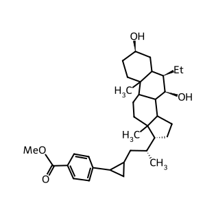 CC[C@@H]1C2C[C@H](O)CCC2(C)C2CCC3(C)C(CC[C@@H]3[C@H](C)CC3CC3c3ccc(C(=O)OC)cc3)C2[C@@H]1O